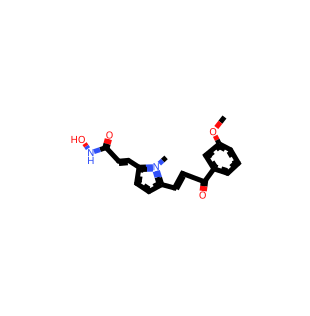 COc1cccc(C(=O)/C=C/c2ccc(/C=C/C(=O)NO)n2C)c1